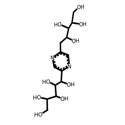 OCC(O)C(O)C(O)Cc1cnc(C(O)C(O)C(O)C(O)CO)cn1